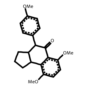 COc1ccc(C2C(=O)c3c(OC)ccc(OC)c3C3CCCC32)cc1